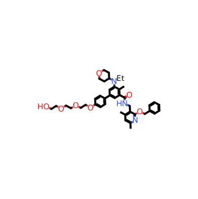 CCN(c1cc(-c2ccc(OCCOCCOCCO)cc2)cc(C(=O)NCc2c(C)cc(C)nc2OCc2ccccc2)c1C)C1CCOCC1